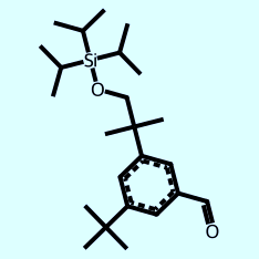 CC(C)[Si](OCC(C)(C)c1cc(C=O)cc(C(C)(C)C)c1)(C(C)C)C(C)C